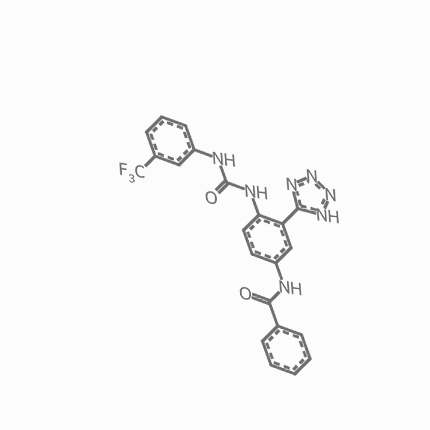 O=C(Nc1cccc(C(F)(F)F)c1)Nc1ccc(NC(=O)c2ccccc2)cc1-c1nnn[nH]1